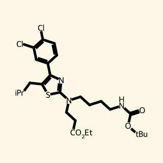 CCOC(=O)CCN(CCCCNC(=O)OC(C)(C)C)c1nc(-c2ccc(Cl)c(Cl)c2)c(CC(C)C)s1